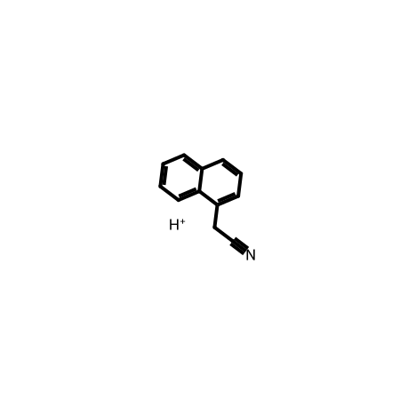 N#CCc1cccc2ccccc12.[H+]